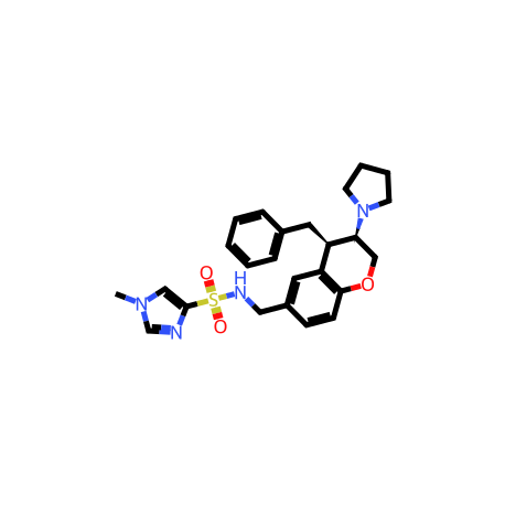 Cn1cnc(S(=O)(=O)NCc2ccc3c(c2)[C@@H](Cc2ccccc2)[C@@H](N2CCCC2)CO3)c1